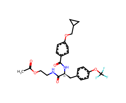 CC(=O)OCCNC(=O)[C@H](Cc1ccc(OC(F)(F)F)cc1)NC(=O)c1ccc(OCC2CC2)cc1